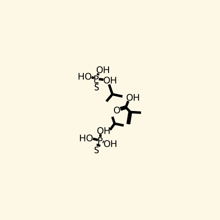 C=C(C)C(=O)O.CC(C)C.CC(C)C.OP(O)(O)=S.OP(O)(O)=S